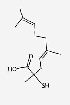 CC(C)=CCCC(C)=CCC(C)(S)C(=O)O